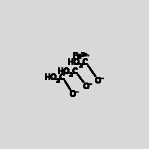 O=C([O-])O.O=C([O-])O.O=C([O-])O.[Fe+3]